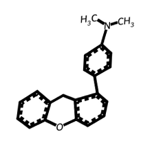 CN(C)c1ccc(-c2cccc3c2Cc2ccccc2O3)cc1